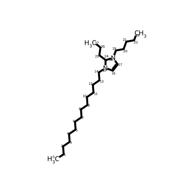 CCCCCCCCCCCCCCCN1C=CN(CCCCC)C1CCC